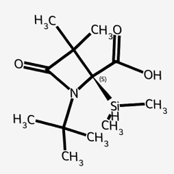 C[SiH](C)[C@@]1(C(=O)O)N(C(C)(C)C)C(=O)C1(C)C